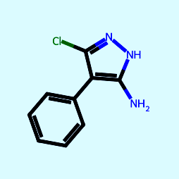 Nc1[nH]nc(Cl)c1-c1ccccc1